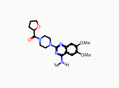 [2H]N([2H])c1nc(N2CCN(C(=O)C3CCCO3)CC2)nc2cc(OC)c(OC)cc12